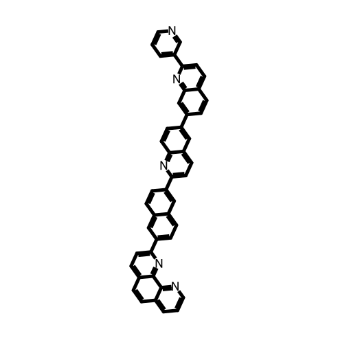 c1cncc(-c2ccc3ccc(-c4ccc5nc(-c6ccc7cc(-c8ccc9ccc%10cccnc%10c9n8)ccc7c6)ccc5c4)cc3n2)c1